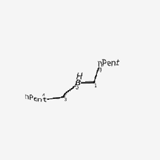 CCCCCCBCCCCCC